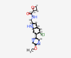 COc1cnc(-c2cc3[nH]c(CNC(=O)C4CCO4)cc3cc2Cl)cn1